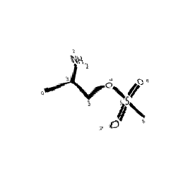 C[C@@H](N)COS(C)(=O)=O